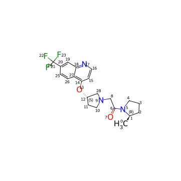 C[C@@H]1CCCN1C(=O)CN1CC[C@H](Oc2ccnc3cc(C(F)(F)F)ccc23)C1